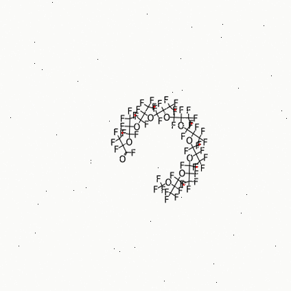 O=C(F)C(F)(OC(F)(F)C(F)(OC(F)(F)C(F)(OC(F)(F)C(F)(OC(F)(F)C(F)(OC(F)(F)C(F)(OC(F)(F)C(F)(OC(F)(F)C(F)(OC(F)(F)C(F)(OC(F)(F)F)C(F)(F)F)C(F)(F)F)C(F)(F)F)C(F)(F)F)C(F)(F)F)C(F)(F)F)C(F)(F)F)C(F)(F)F)C(F)(F)F